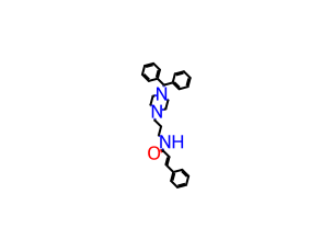 O=C(C=Cc1ccccc1)NCCCN1CCN(C(c2ccccc2)c2ccccc2)CC1